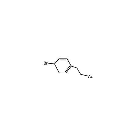 CC(=O)CCC1=CCC(Br)C=C1